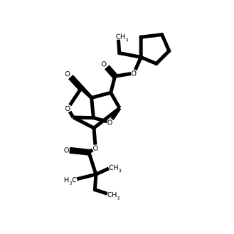 CCC1(OC(=O)C2C3OC4C(OC(=O)C42)C3OC(=O)C(C)(C)CC)CCCC1